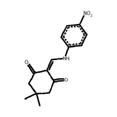 CC1(C)CC(=O)C(=CNc2ccc([N+](=O)[O-])cc2)C(=O)C1